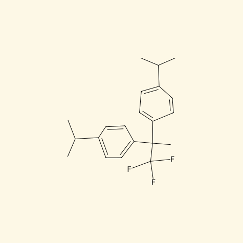 CC(C)c1ccc(C(C)(c2ccc(C(C)C)cc2)C(F)(F)F)cc1